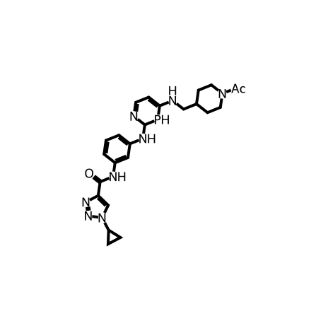 CC(=O)N1CCC(CNC2=CC=NC(Nc3cccc(NC(=O)c4cn(C5CC5)nn4)c3)P2)CC1